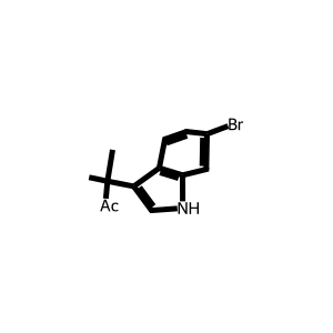 CC(=O)C(C)(C)c1c[nH]c2cc(Br)ccc12